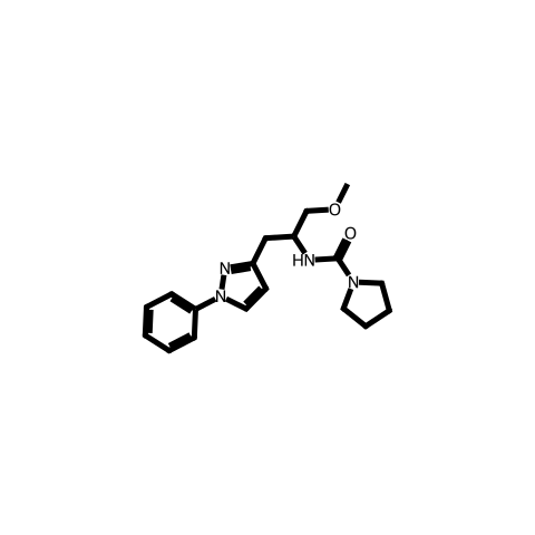 COCC(Cc1ccn(-c2ccccc2)n1)NC(=O)N1CCCC1